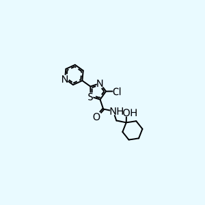 O=C(NCC1(O)CCCCC1)c1sc(-c2cccnc2)nc1Cl